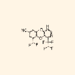 Cc1cc(C#N)cc(C(F)F)c1Oc1c(C(F)(F)C(F)F)nc[nH]c1=O